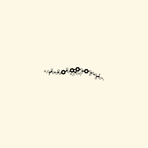 C=C(F)C(=O)OCOC(=O)Oc1ccc(C(=O)Oc2ccc3c(c2)C(C)(C)c2cc(OC(=O)c4ccc(OC(=O)OCOC(=O)C(=C)F)cc4)ccc2-3)cc1